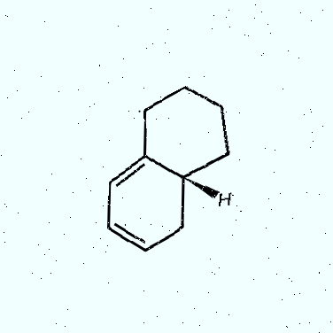 [CH]1CCC[C@@H]2CC=CC=C12